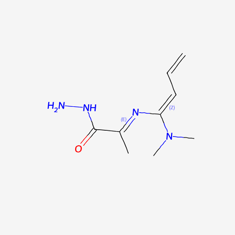 C=C/C=C(\N=C(/C)C(=O)NN)N(C)C